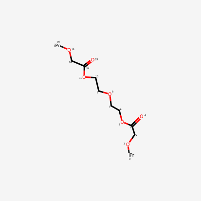 CC(C)OCC(=O)OCCOCCOC(=O)COC(C)C